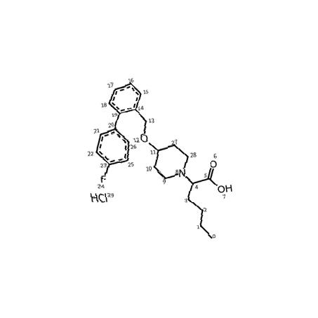 CCCCC(C(=O)O)N1CCC(OCc2ccccc2-c2ccc(F)cc2)CC1.Cl